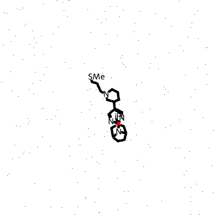 CSCCCN1CCCC(c2cnc(N3C4CCC3CN(C(C)C)C4)nc2)C1